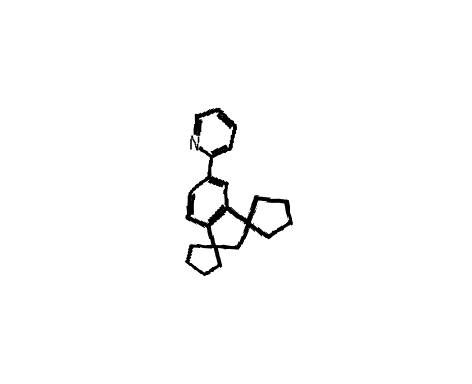 c1ccc(-c2ccc3c(c2)C2(CCCC2)CC32CCCC2)nc1